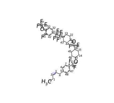 CC/C=C\Cc1ccc(C(F)(F)OC2CCC(C(F)(F)OC3CCC(C(F)(F)C(F)(F)c4ccc(OC(F)(F)F)c(F)c4)CC3)CC2)cc1